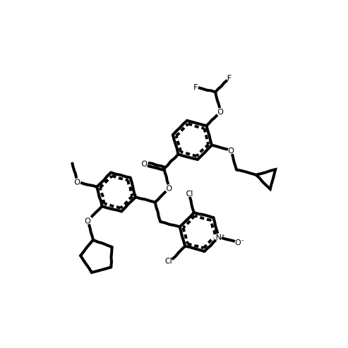 COc1ccc(C(Cc2c(Cl)c[n+]([O-])cc2Cl)OC(=O)c2ccc(OC(F)F)c(OCC3CC3)c2)cc1OC1CCCC1